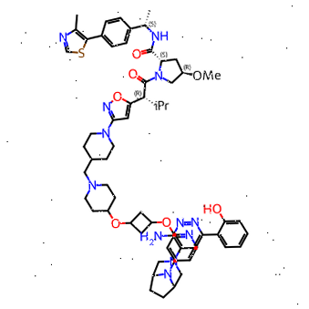 CO[C@@H]1C[C@@H](C(=O)N[C@@H](C)c2ccc(-c3scnc3C)cc2)N(C(=O)[C@@H](c2cc(N3CCC(CN4CCC(OC5CC(Oc6cc(N7C8CCC7CN(c7cc(-c9ccccc9O)nnc7N)C8)ccn6)C5)CC4)CC3)no2)C(C)C)C1